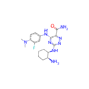 CN(C)c1ccc(Nc2nc(N[C@@H]3CCCC[C@@H]3N)nnc2C(N)=O)cc1F